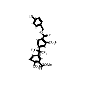 CCc1ccc(COC(=O)c2ccc(C(c3ccc(C(=O)O)c(C(=O)OC)c3)(C(F)(F)F)C(F)(F)F)cc2C(=O)O)cc1